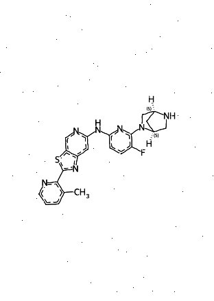 Cc1cccnc1-c1nc2cc(Nc3ccc(F)c(N4C[C@@H]5C[C@H]4CN5)n3)ncc2s1